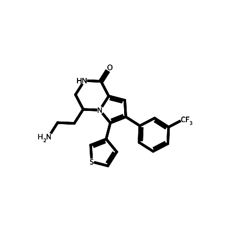 NCCC1CNC(=O)c2cc(-c3cccc(C(F)(F)F)c3)c(-c3ccsc3)n21